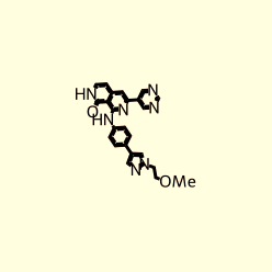 COCCn1cc(-c2ccc(Nc3nc(-c4cncnc4)cc4cc[nH]c(=O)c34)cc2)cn1